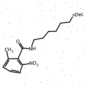 CCCCCCCCCCCCCCCCNC(=O)c1c([N+](=O)[O-])[c]ccc1C